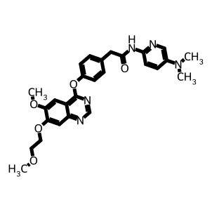 COCCOc1cc2ncnc(Oc3ccc(CC(=O)Nc4ccc(N(C)C)cn4)cc3)c2cc1OC